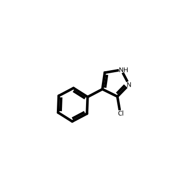 Clc1n[nH]cc1-c1ccccc1